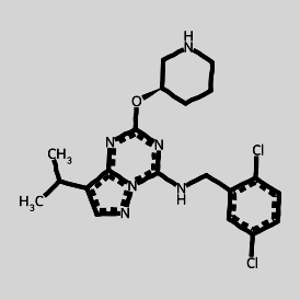 CC(C)c1cnn2c(NCc3cc(Cl)ccc3Cl)nc(O[C@@H]3CCCNC3)nc12